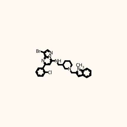 Cn1c(CN2CCCC(CNc3cc(-c4ccccc4Cl)nc4c(Br)cnn34)C2)cc2ccccc21